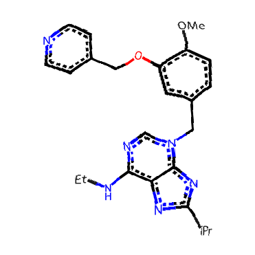 CCNc1ncn(Cc2ccc(OC)c(OCc3ccncc3)c2)c2nc(C(C)C)nc1-2